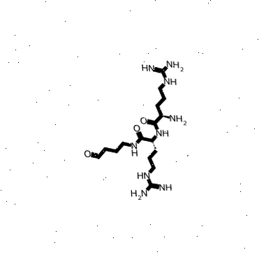 N=C(N)NCCC[C@@H](N)C(=O)N[C@H](CCCNC(=N)N)C(=O)NCCC[C]=O